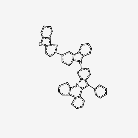 c1ccc(-c2c3ccc(-n4c5ccccc5c5cc(-c6ccc7oc8ccccc8c7c6)ccc54)cc3n3c4ccccc4c4ccccc4c23)cc1